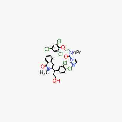 CCCN(CCOc1c(Cl)cc(Cl)cc1Cl)C(=O)n1ccnc1.Cn1c(C(CCO)c2ccc(Cl)c(Cl)c2)cc2ccccc2c1=O